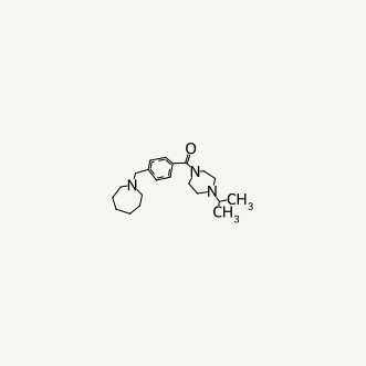 CC(C)N1CCN(C(=O)c2ccc(CN3CCCCCC3)cc2)CC1